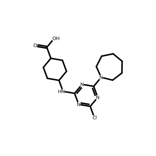 O=C(O)C1CCC(Nc2nc(Cl)nc(N3CCCCCC3)n2)CC1